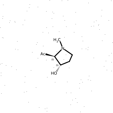 CC(=O)[C@@H]1[C@@H](O)CCN1C